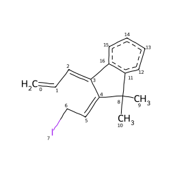 C=C/C=C1\C(=C/CI)C(C)(C)c2ccccc21